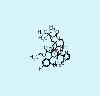 CCOC(=O)C1=C(CC23CN(C(C)(C)C)C(=O)N2CCNC3C(=O)O)NC(c2nccn2C)=NC1c1ccc(F)cc1Br